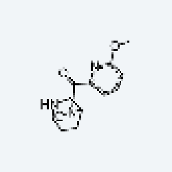 COc1cccc(C(=O)N2CC3CCC2CN3)n1